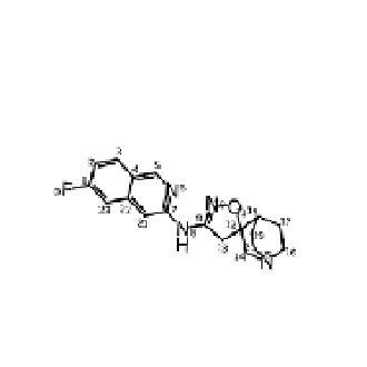 Fc1ccc2cnc(NC3=NOC4(C3)CN3CCC4CC3)cc2c1